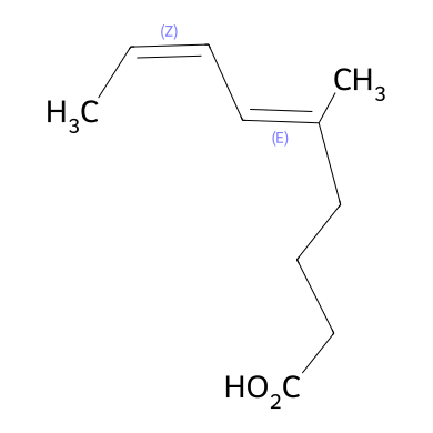 C/C=C\C=C(/C)CCCC(=O)O